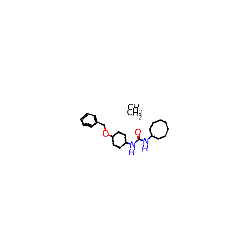 O=C(N[C]1CCCCCCC1)NC1CCC(OCc2ccccc2)CC1.[CH2].[CH2]